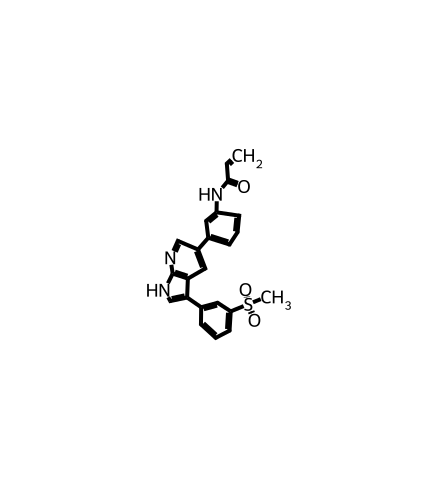 C=CC(=O)Nc1cccc(-c2cnc3[nH]cc(-c4cccc(S(C)(=O)=O)c4)c3c2)c1